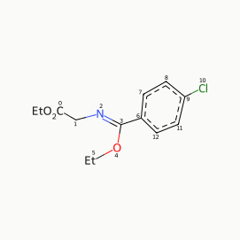 CCOC(=O)CN=C(OCC)c1ccc(Cl)cc1